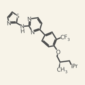 CC(C)C[C@@H](C)COc1ccc(-c2ccnc(Nc3nccs3)n2)cc1C(F)(F)F